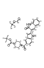 CC(C)(C)OC(=O)N1CCN(C(=O)c2ccc3[nH]c(-c4cc5ccccc5[nH]c4=O)cc3c2)CC1.CC(C)(C)OC=O